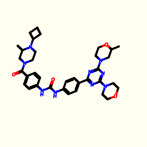 CC1CN(c2nc(-c3ccc(NC(=O)Nc4ccc(C(=O)N5CCN(C6CCC6)C(C)C5)cc4)cc3)nc(N3CCOCC3)n2)CCO1